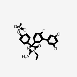 CCN1C(=O)C(c2ccc(OS(C)(=O)=O)cc2)(c2ccc(F)c(-c3cc(Cl)cc(Cl)c3)c2)N=C1N